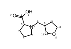 O=C(O)C1CCCN1CC1CCOO1